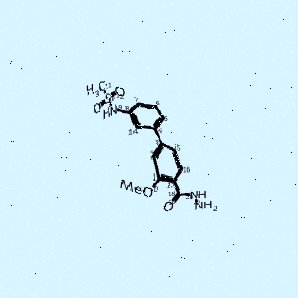 COc1cc(-c2cccc(NS(C)(=O)=O)c2)ccc1C(=O)NN